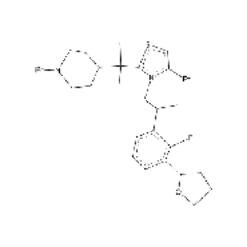 CCc1csc(C(C)(C)C2CCN(C(C)C)CC2)[n+]1CC(C)c1cccc([C@@H]2CCCO2)c1F